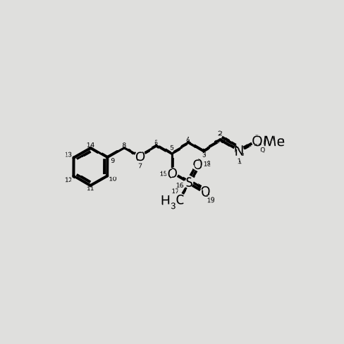 CON=CCCC(COCc1ccccc1)OS(C)(=O)=O